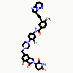 Cc1ccc(C(=O)Nc2ccc(N3CCN(Cc4cc(Br)c5c(c4)CN(C4CCC(=O)NC4=O)C5=O)CC3)c(C(F)(F)F)c2)cc1C#Cc1cnc2cccnn12